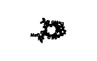 COc1nn(C)cc1C(=O)N[S@@]1(=O)=NC(=O)c2ccc3c(c2)N(C[C@@H]2CC[C@H]2[C@@H](OC)/C=C/[C@H](OC(=O)N(C)C)[C@H](C)C1)C[C@@]1(CCCc2cc(Cl)ccc21)CO3